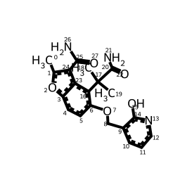 Cc1oc2ccc(OCc3cccnc3O)c(C(C)(C)C(N)=O)c2c1C(N)=O